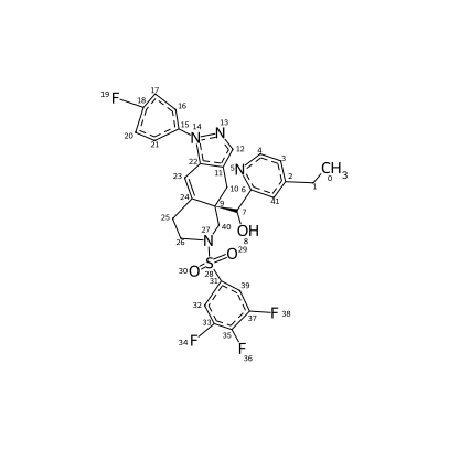 CCc1ccnc(C(O)[C@]23Cc4cnn(-c5ccc(F)cc5)c4C=C2CCN(S(=O)(=O)c2cc(F)c(F)c(F)c2)C3)c1